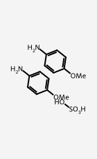 COc1ccc(N)cc1.COc1ccc(N)cc1.O=S(=O)(O)O